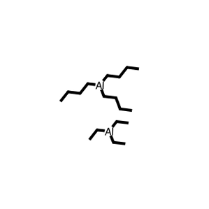 CCC[CH2][Al]([CH2]CCC)[CH2]CCC.C[CH2][Al]([CH2]C)[CH2]C